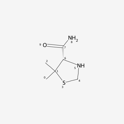 CC1(C)SCN[C@H]1C(N)=O